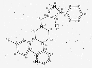 Fc1ccc(-c2nccnc2N2CCN(Cc3cnn(-c4ccccc4)c3Cl)CC2)cc1